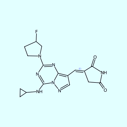 O=C1C/C(=C\c2cnn3c(NC4CC4)nc(N4CCC(F)C4)nc23)C(=O)N1